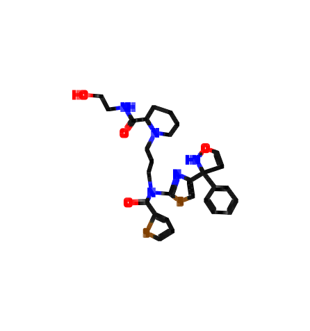 O=C(NCCO)C1CCCCN1CCCN(C(=O)c1cccs1)c1nc(C2(c3ccccc3)C=CON2)cs1